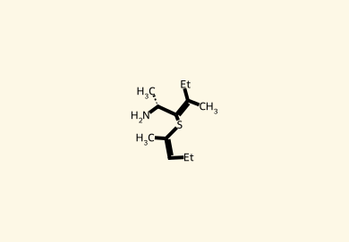 CC/C=C(/C)S/C(=C(\C)CC)[C@@H](C)N